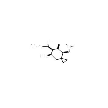 C=C1/C(=C\N(C)C)C2(CC2)CC(=N)/C1=C(\NC)C(C)C